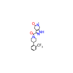 CN1Cc2[nH]nc(C(=O)N3CCC(c4ccccc4C(F)(F)F)CC3)c2CC1=O